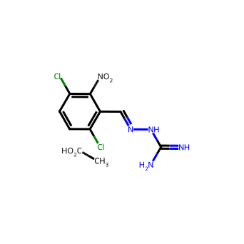 CC(=O)O.N=C(N)NN=Cc1c(Cl)ccc(Cl)c1[N+](=O)[O-]